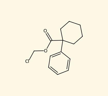 O=C(OCCl)C1(c2ccccc2)CCCCC1